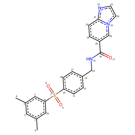 Cc1cc(C)cc(S(=O)(=O)c2ccc(CNC(=O)c3ccc4nccn4c3)cc2)c1